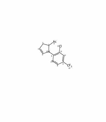 CC(=O)C1CC=CN1c1ncc(C(F)(F)F)cc1Cl